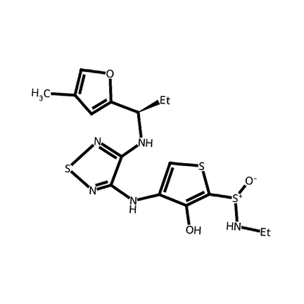 CCN[S+]([O-])c1scc(Nc2nsnc2N[C@H](CC)c2cc(C)co2)c1O